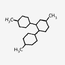 CC1CCC([C]2CCC(C)CC2C2CCC(C)CC2)CC1